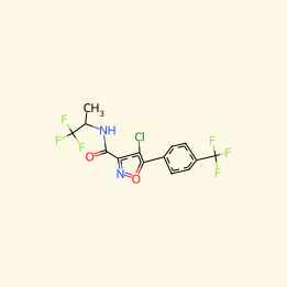 CC(NC(=O)c1noc(-c2ccc(C(F)(F)F)cc2)c1Cl)C(F)(F)F